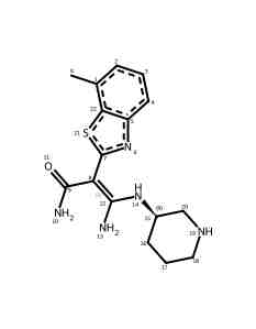 Cc1cccc2nc(/C(C(N)=O)=C(/N)N[C@@H]3CCCNC3)sc12